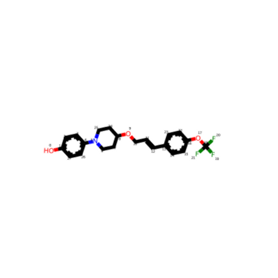 Oc1ccc(N2CCC(OC/C=C/c3ccc(OC(F)(F)F)cc3)CC2)cc1